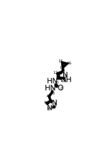 O=C(NCCC1=NCN=C1)Nc1cc(C2CC2)n[nH]1